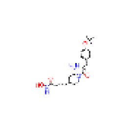 CC(C)(C)Oc1ccc(C[C@@H](N)C(=O)N2CCC(CCCC(=O)NO)CC2)cc1